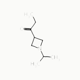 CCC(=O)C1CN(C(C)C)C1